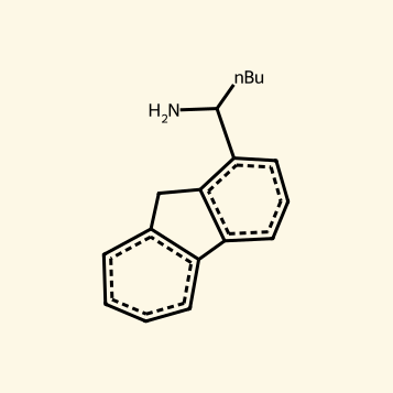 CCCCC(N)c1cccc2c1Cc1ccccc1-2